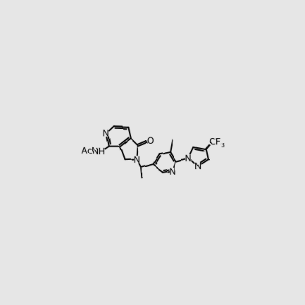 CC(=O)Nc1nccc2c1CN(C(C)c1cnc(-n3cc(C(F)(F)F)cn3)c(C)c1)C2=O